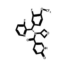 O=C(c1ccc(=O)[nH]c1)N(C1COC1)[C@@H](c1ccc(OC(F)(F)F)c(F)c1)c1ncccc1F